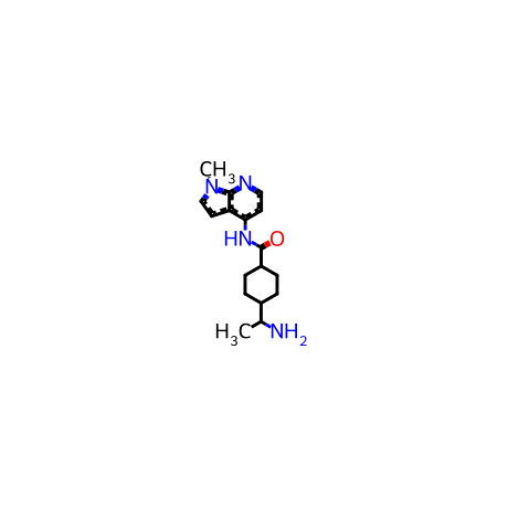 CC(N)C1CCC(C(=O)Nc2ccnc3c2ccn3C)CC1